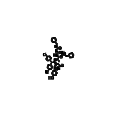 NC(=O)[C@@H](CCCNC(=NC(=O)OCc1ccccc1)NC(=O)OCc1ccccc1)N(CCc1ccc(O)cc1)C(=O)C(c1ccc(Cl)cc1)c1ccc(Cl)cc1